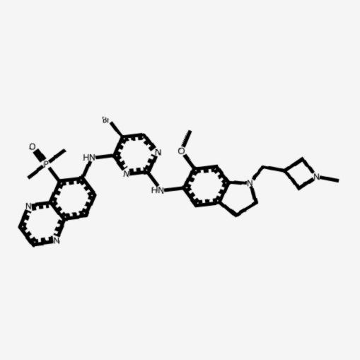 COc1cc2c(cc1Nc1ncc(Br)c(Nc3ccc4nccnc4c3P(C)(C)=O)n1)CCN2CC1CN(C)C1